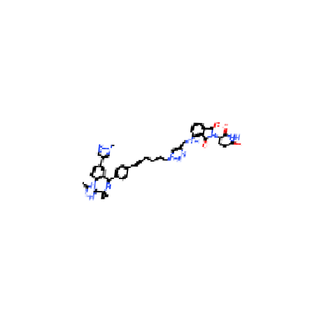 Cc1nnc2n1-c1ccc(-c3cnn(C)c3)cc1C(c1ccc(C#CCCCCn3cc(CNc4cccc5c4C(=O)N(C4CCC(=O)NC4=O)C5=O)nn3)cc1)=NC21CC1